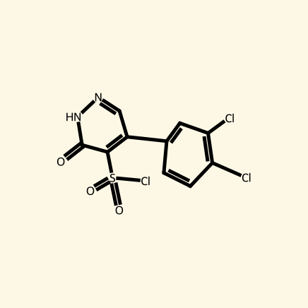 O=c1[nH]ncc(-c2ccc(Cl)c(Cl)c2)c1S(=O)(=O)Cl